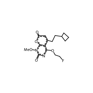 COn1c(=O)nc(OCCF)c2c(CCC3CCC3)cc(=O)oc21